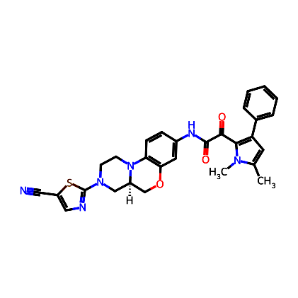 Cc1cc(-c2ccccc2)c(C(=O)C(=O)Nc2ccc3c(c2)OC[C@H]2CN(c4ncc(C#N)s4)CCN32)n1C